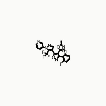 Cc1nnc(-c2c(-c3c(F)cccc3Cl)noc2-c2cnn(-c3cccnc3)c2C(F)(F)F)o1